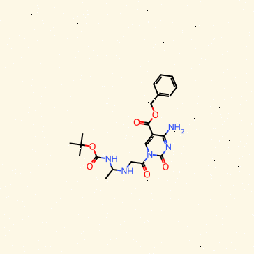 CC(NCC(=O)n1cc(C(=O)OCc2ccccc2)c(N)nc1=O)NC(=O)OC(C)(C)C